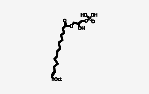 CCCCCCCCC=CCCCCCCCCCCCC(=O)OCC(O)COP(=O)(O)O